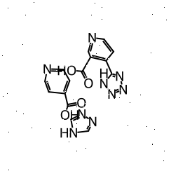 O=C(O)c1ccncc1.O=C(O)c1cnccc1-c1nnn[nH]1.c1nnc[nH]1